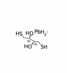 O[C@H](CS)[C@H](O)CS.[PbH2]